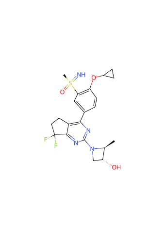 C[C@H]1[C@H](O)CN1c1nc(-c2ccc(OC3CC3)c([S@@](C)(=N)=O)c2)c2c(n1)C(F)(F)CC2